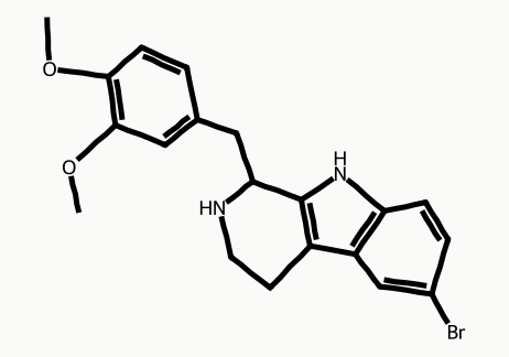 COc1ccc(CC2NCCc3c2[nH]c2ccc(Br)cc32)cc1OC